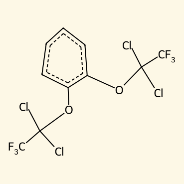 FC(F)(F)C(Cl)(Cl)Oc1ccccc1OC(Cl)(Cl)C(F)(F)F